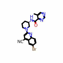 Cc1cncnc1C(=O)N[C@H]1CCCN(c2cc(C#N)c3cc(Br)ccc3n2)C1